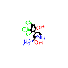 NC(O)[C@H]1C[C@@H](c2c(O)cc(Cl)c(Cl)c2Cl)CCN1